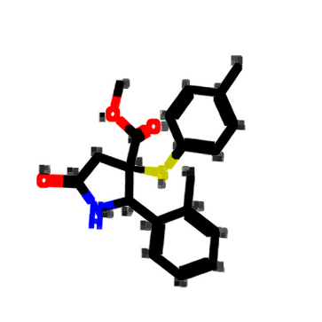 COC(=O)[C@@]1(Sc2ccc(C)cc2)CC(=O)NC1c1ccccc1C